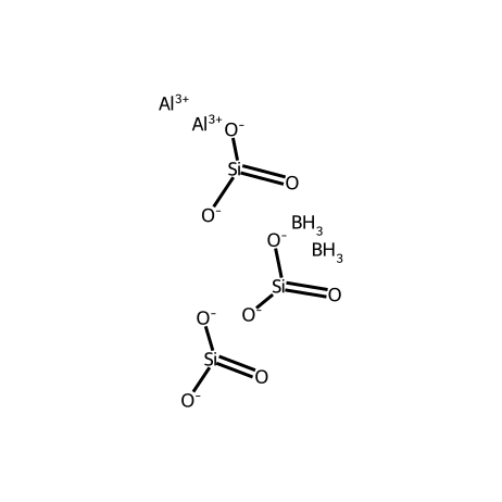 B.B.O=[Si]([O-])[O-].O=[Si]([O-])[O-].O=[Si]([O-])[O-].[Al+3].[Al+3]